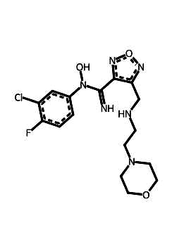 N=C(c1nonc1CNCCN1CCOCC1)N(O)c1ccc(F)c(Cl)c1